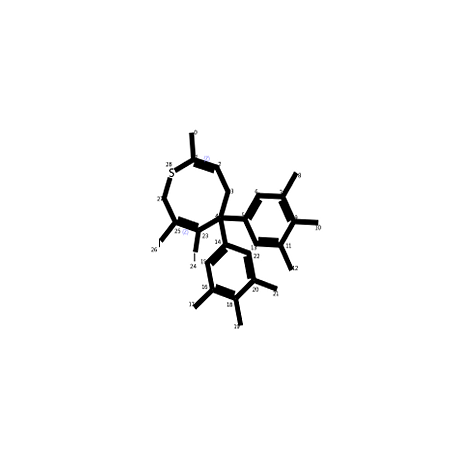 C/C1=C/CC(c2cc(C)c(C)c(C)c2)(c2cc(C)c(C)c(C)c2)/C(I)=C(/I)CS1